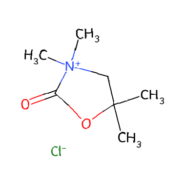 CC1(C)C[N+](C)(C)C(=O)O1.[Cl-]